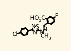 CN(/N=C/c1ccc(F)cc1C(=O)O)c1nc(-c2ccc(Cl)cc2)ns1